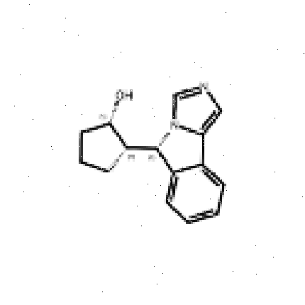 O[C@H]1CCC[C@H]1[C@H]1c2ccccc2-c2cncn21